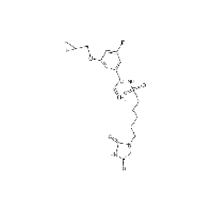 C=C[C@@H](NS(=O)(=O)CCCCCN1CC(=O)NC1=O)c1cc(F)cc(OCC2CC2)c1